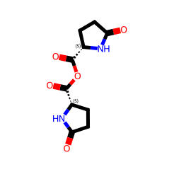 O=C1CC[C@@H](C(=O)OC(=O)[C@@H]2CCC(=O)N2)N1